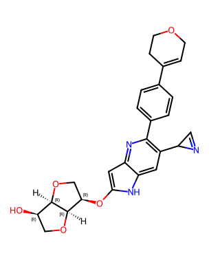 O[C@@H]1CO[C@H]2[C@@H]1OC[C@H]2Oc1cc2nc(-c3ccc(C4=CCOCC4)cc3)c(C3C=N3)cc2[nH]1